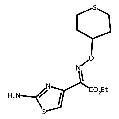 CCOC(=O)/C(=N\OC1CCSCC1)c1csc(N)n1